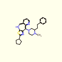 CN1CCN(C2=c3ncccc3=CNc3sc(C4CCCC4)nc32)CC1CCc1ccccc1